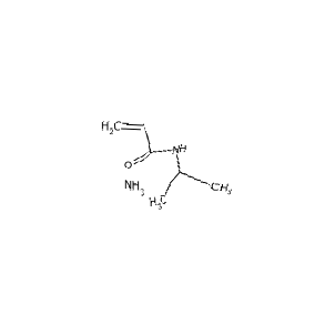 C=CC(=O)NC(C)C.N